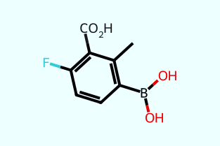 Cc1c(B(O)O)ccc(F)c1C(=O)O